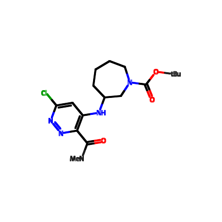 CNC(=O)c1nnc(Cl)cc1NC1CCCCN(C(=O)OC(C)(C)C)C1